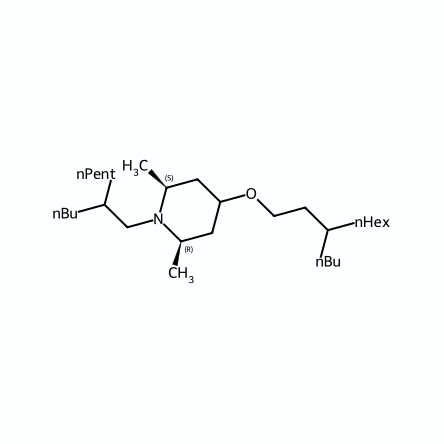 CCCCCCC(CCCC)CCOC1C[C@@H](C)N(CC(CCCC)CCCCC)[C@@H](C)C1